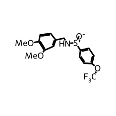 COc1ccc(CN[S+]([O-])c2ccc(OC(F)(F)F)cc2)cc1OC